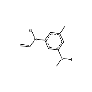 C=CN(CC)c1cc(C)cc(N(C)I)c1